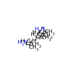 CC(CN)C(C)(C)CCCCC(C)(C)C(C)(C)C(C)N